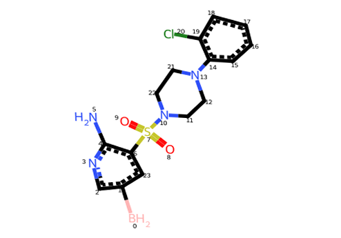 Bc1cnc(N)c(S(=O)(=O)N2CCN(c3ccccc3Cl)CC2)c1